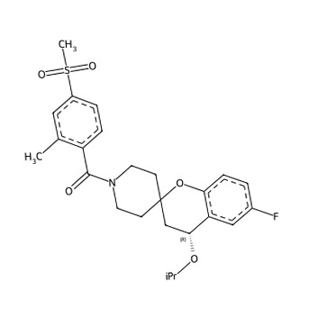 Cc1cc(S(C)(=O)=O)ccc1C(=O)N1CCC2(CC1)C[C@@H](OC(C)C)c1cc(F)ccc1O2